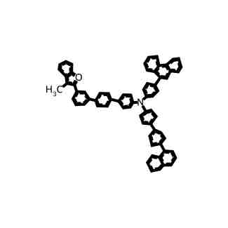 Cc1c(-c2cccc(-c3ccc(-c4ccc(N(c5ccc(-c6ccc(-c7cccc8ccccc78)cc6)cc5)c5ccc(-c6cc7ccccc7c7ccccc67)cc5)cc4)cc3)c2)oc2ccccc12